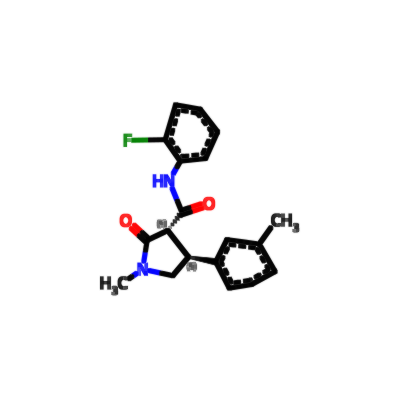 Cc1cccc([C@H]2CN(C)C(=O)[C@@H]2C(=O)Nc2ccccc2F)c1